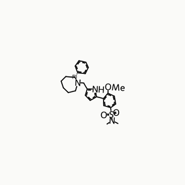 COc1ccc(S(=O)(=O)N(C)C)cc1-c1ccc(CN2CCCCC[C@@H]2c2ccccc2)[nH]1